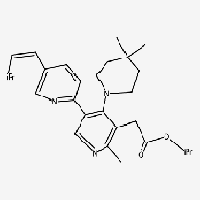 Cc1ncc(-c2ccc(/C=C\C(C)C)cn2)c(N2CCC(C)(C)CC2)c1CC(=O)OC(C)C